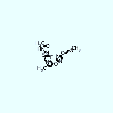 COCCOc1cnc(O[C@@H]2C[C@H](C)N(Cc3sc(NC(C)=O)nc3F)C2)cn1